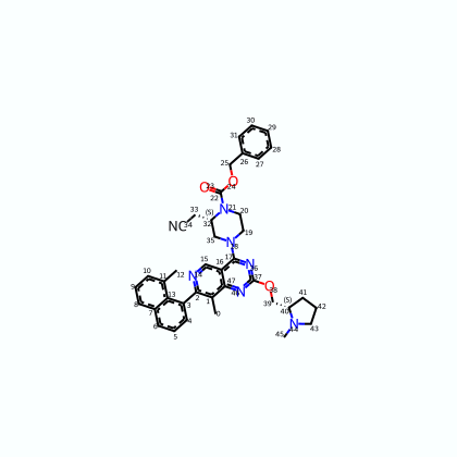 Cc1c(-c2cccc3cccc(C)c23)ncc2c(N3CCN(C(=O)OCc4ccccc4)[C@@H](CC#N)C3)nc(OC[C@@H]3CCCN3C)nc12